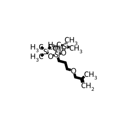 C=C(C)COCCC[Si](O)(O[Si](C)(C)C)O[Si](C)(C)C